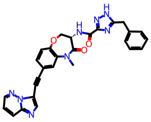 CN1C(=O)[C@@H](NC(=O)c2n[nH]c(Cc3ccccc3)n2)COc2ccc(C#Cc3cnc4cccnn34)cc21